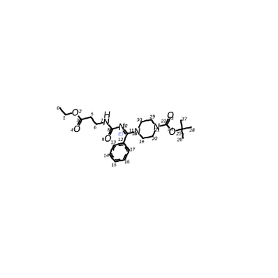 CCOC(=O)CCNC(=O)/N=C(\c1ccccc1)N1CCN(C(=O)OC(C)(C)C)CC1